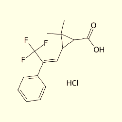 CC1(C)C(C=C(c2ccccc2)C(F)(F)F)C1C(=O)O.Cl